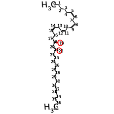 CCCCC/C=C\C/C=C\C/C=C\C/C=C\CCC(=O)CC(=O)CCCCCCCCCCCCCCC